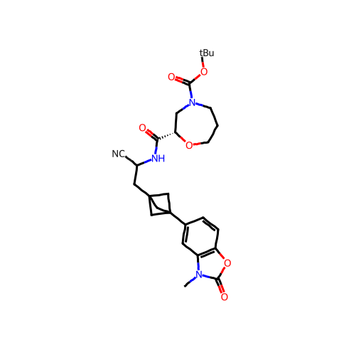 Cn1c(=O)oc2ccc(C34CC(CC(C#N)NC(=O)[C@@H]5CN(C(=O)OC(C)(C)C)CCCO5)(C3)C4)cc21